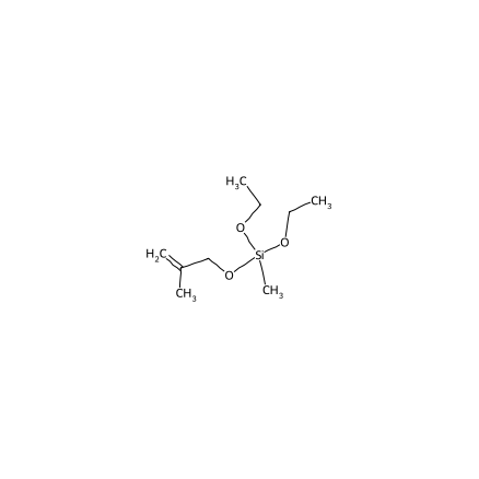 C=C(C)CO[Si](C)(OCC)OCC